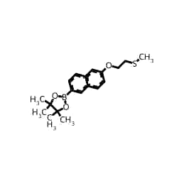 CSCCOc1ccc2cc(B3OC(C)(C)C(C)(C)O3)ccc2c1